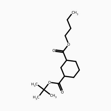 CCCCOC(=O)C1CCCC(C(=O)OC(C)(C)C)C1